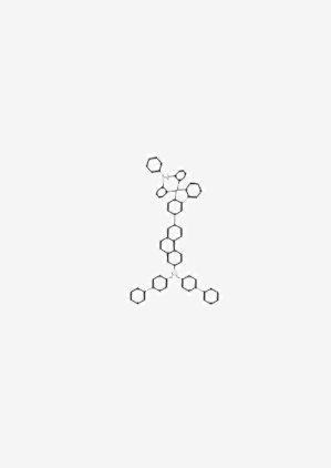 c1ccc(-c2ccc(N(c3ccc(-c4ccccc4)cc3)c3ccc4c(ccc5cc(-c6ccc7c(c6)-c6ccccc6C76c7ccccc7N(c7ccccc7)c7ccccc76)ccc54)c3)cc2)cc1